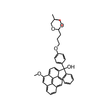 COc1cc2cccc3ccc4c(C(O)(c5ccccc5)c5ccc(OCCCC67OCC(C)(CO6)CO7)cc5)ccc1c4c32